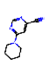 N#Cc1cc(N2CCCCC2)ncn1